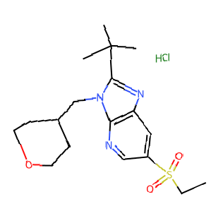 CCS(=O)(=O)c1cnc2c(c1)nc(C(C)(C)C)n2CC1CCOCC1.Cl